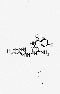 CCc1cc(Nc2nc(N)nc(NC(C)c3ccc(F)cc3)n2)n[nH]1